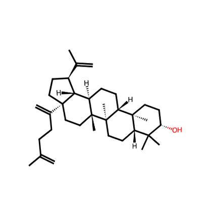 C=C(C)CCC(=C)[C@]12CC[C@@H](C(=C)C)[C@@H]1[C@H]1CC[C@@H]3[C@@]4(C)CC[C@H](O)C(C)(C)[C@@H]4CC[C@@]3(C)[C@]1(C)CC2